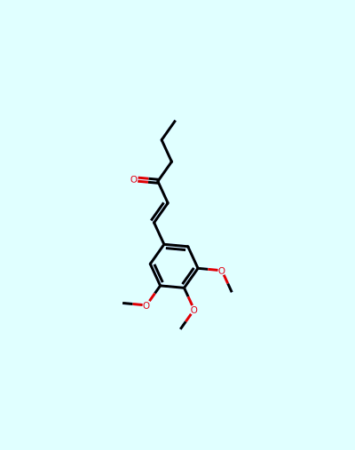 CCCC(=O)C=Cc1cc(OC)c(OC)c(OC)c1